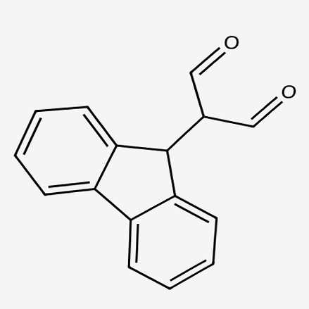 O=CC(C=O)C1c2ccccc2-c2ccccc21